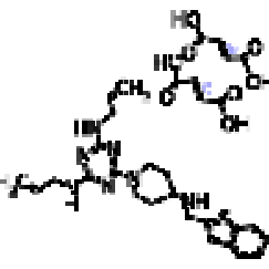 C=CCNc1nc(NCC=C)nc(N2CCC(NCc3cc4ccccc4s3)CC2)n1.O=C(O)/C=C/C(=O)O.O=C(O)/C=C/C(=O)O